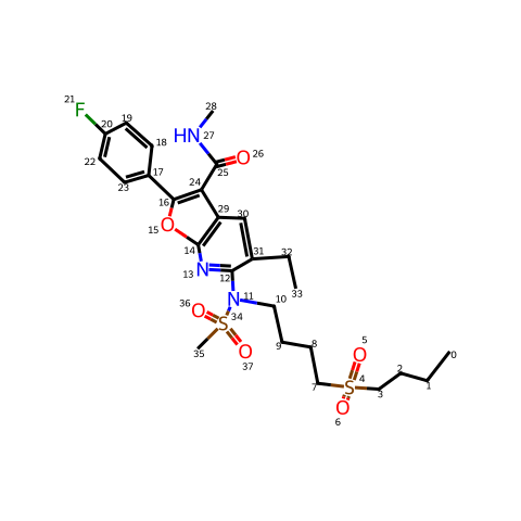 CCCCS(=O)(=O)CCCCN(c1nc2oc(-c3ccc(F)cc3)c(C(=O)NC)c2cc1CC)S(C)(=O)=O